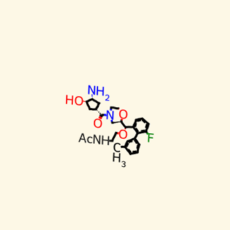 CC(=O)NCCO[C@@H](c1cccc(F)c1-c1cccc(C)c1)[C@H]1CN(C(=O)[C@H]2C[C@@H](N)[C@@H](O)C2)CCO1